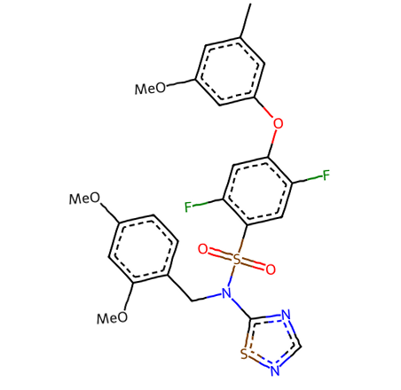 COc1cc(C)cc(Oc2cc(F)c(S(=O)(=O)N(Cc3ccc(OC)cc3OC)c3ncns3)cc2F)c1